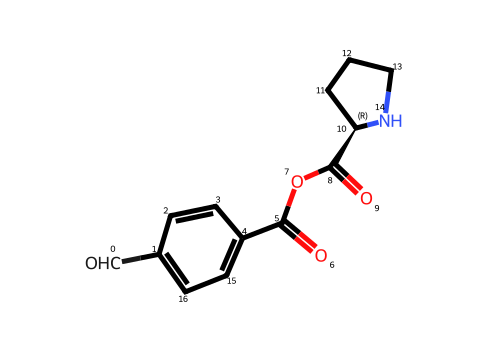 O=Cc1ccc(C(=O)OC(=O)[C@H]2CCCN2)cc1